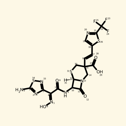 Nc1nc(C(=NO)C(=O)NC2C(=O)N3CC(C=Cc4cnc(C(F)(F)F)s4)(C(=O)O)CS[C@H]23)ns1